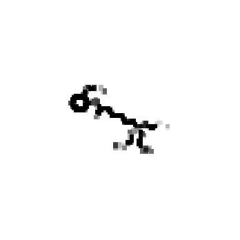 CCO[Si](CCCCCC(=O)Oc1ccccc1OC)(OCC)OCC